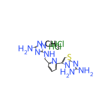 Cl.Cl.Cn1nc(N)nc1NCc1cccc(-c2csc(N=C(N)N)n2)n1